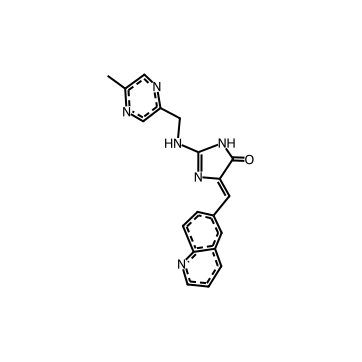 Cc1cnc(CNC2=N/C(=C\c3ccc4ncccc4c3)C(=O)N2)cn1